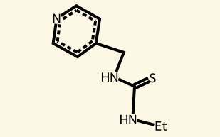 CCNC(=S)NCc1ccncc1